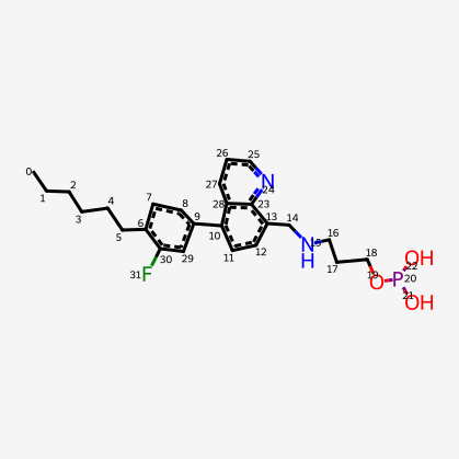 CCCCCCc1ccc(-c2ccc(CNCCCOP(O)O)c3ncccc23)cc1F